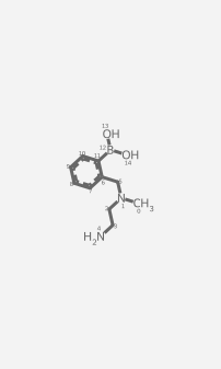 CN(CCN)Cc1ccccc1B(O)O